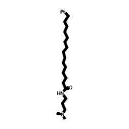 CC(C)CCCCCCCCCCCCCCC(=O)NCCCN(C)C